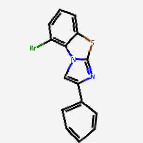 Brc1cccc2sc3nc(-c4ccccc4)cn3c12